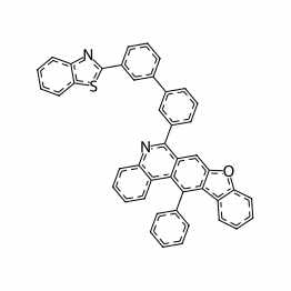 c1ccc(-c2c3c(cc4c(-c5cccc(-c6cccc(-c7nc8ccccc8s7)c6)c5)nc5ccccc5c24)oc2ccccc23)cc1